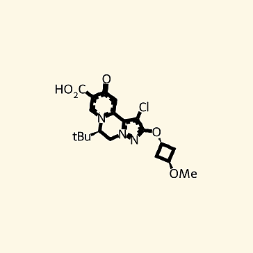 CO[C@H]1C[C@H](Oc2nn3c(c2Cl)-c2cc(=O)c(C(=O)O)cn2[C@H](C(C)(C)C)C3)C1